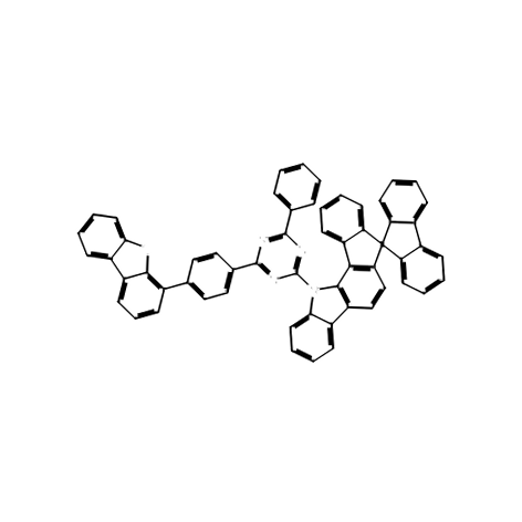 c1ccc(-c2nc(-c3ccc(-c4cccc5c4oc4ccccc45)cc3)nc(-n3c4ccccc4c4ccc5c(c43)-c3ccccc3C53c4ccccc4-c4ccccc43)n2)cc1